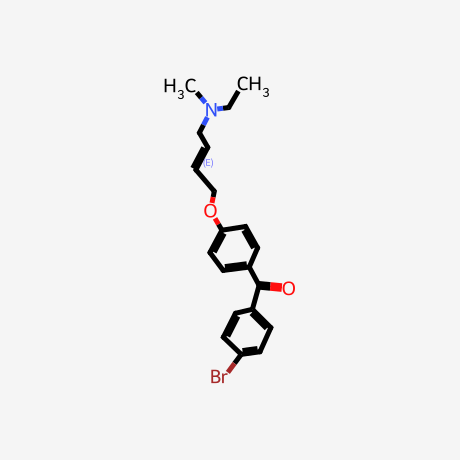 CCN(C)C/C=C/COc1ccc(C(=O)c2ccc(Br)cc2)cc1